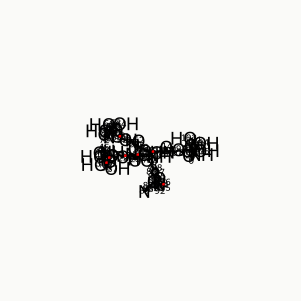 CC(=O)N[C@H]1[C@H](OCCOCCNC(=O)CCOCC(COCCC(=O)NCCOCCO[C@@H]2O[C@H](CO)[C@H](O)[C@H](O)[C@H]2NC(C)=O)(COCCC(=O)NCCOCCO[C@@H]2O[C@H](CO)[C@H](O)[C@H](O)[C@H]2NC(C)=O)NC(=O)CCc2ccc(OP(OCCC#N)N(C(C)C)C(C)C)cc2)O[C@H](CO)[C@H](O)[C@@H]1O